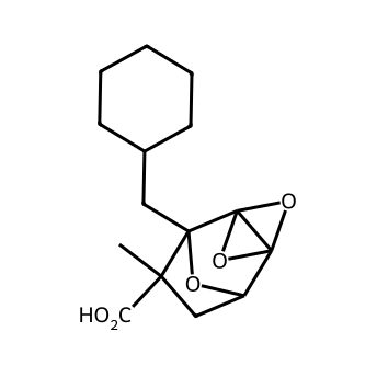 CC1(C(=O)O)CC2OC1(CC1CCCCC1)C13OC21O3